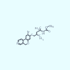 CC(COc1cc2c(cc1Br)-c1ccncc1CO2)CC(C)NC(=O)OC(C)(C)C